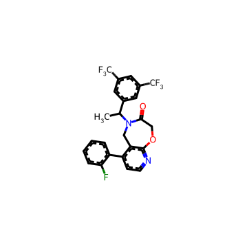 CC(c1cc(C(F)(F)F)cc(C(F)(F)F)c1)N1Cc2c(-c3ccccc3F)ccnc2OCC1=O